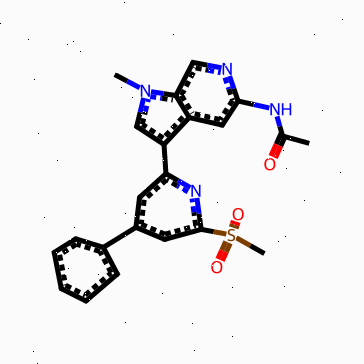 CC(=O)Nc1cc2c(-c3cc(-c4ccccc4)cc(S(C)(=O)=O)n3)cn(C)c2cn1